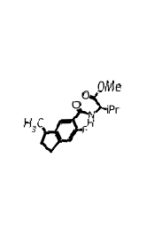 COC(=O)[C@H](NC(=O)c1cc2c(cc1F)CCC2C)C(C)C